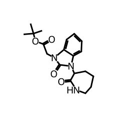 CC(C)(C)OC(=O)Cn1c(=O)n(C2CCCCNC2=O)c2ccccc21